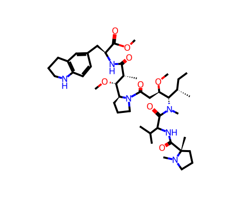 CC[C@H](C)[C@@H]([C@@H](CC(=O)N1CCC[C@H]1[C@H](OC)[C@@H](C)C(=O)N[C@@H](Cc1ccc2c(c1)CCCN2)C(=O)OC)OC)N(C)C(=O)C(NC(=O)[C@]1(C)CCCN1C)C(C)C